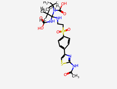 CC(=O)Nc1nc(-c2ccc(S(=O)(=O)CCNC(NC(=O)O)(N(C(=O)O)C(C)(C)C)C(C)(C)C)cc2)cs1